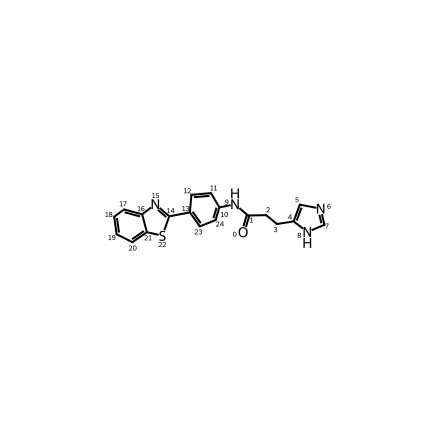 O=C(CCc1cnc[nH]1)Nc1ccc(-c2nc3ccccc3s2)cc1